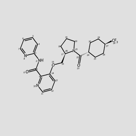 O=C(Nc1ccccn1)c1ncccc1OC[C@H]1CCCN1C(=O)[C@H]1CC[C@H](C(F)(F)F)CC1